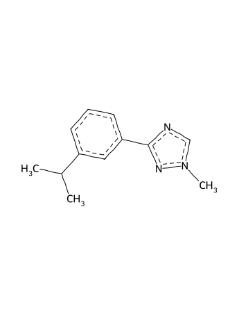 CC(C)c1cccc(-c2ncn(C)n2)c1